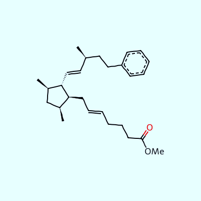 COC(=O)CCC/C=C/C[C@@H]1[C@@H](/C=C/[C@@H](C)CCc2ccccc2)[C@H](C)C[C@@H]1C